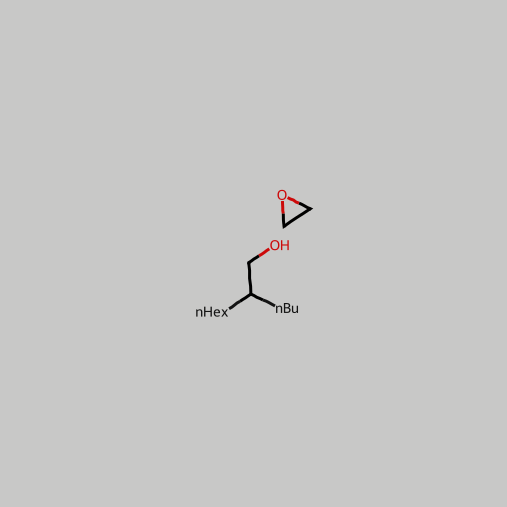 C1CO1.CCCCCCC(CO)CCCC